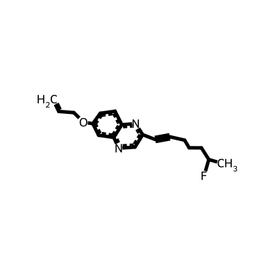 C=CCOc1ccc2nc(C#CCCCC(C)F)cnc2c1